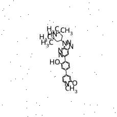 Cn1ccc(-c2ccc(-c3cc4nnn(C5CC(C)(C)NC(C)(C)C5)c4nn3)c(O)c2)cc1=O